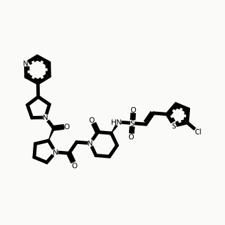 O=C1[C@@H](NS(=O)(=O)/C=C/c2ccc(Cl)s2)CCCN1CC(=O)N1CCC[C@H]1C(=O)N1CCC(c2cccnc2)C1